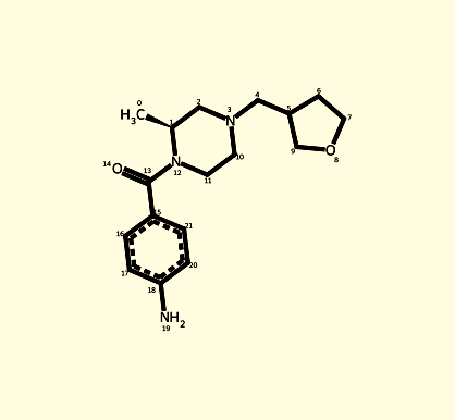 C[C@H]1CN(CC2CCOC2)CCN1C(=O)c1ccc(N)cc1